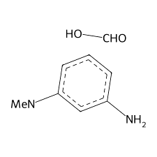 CNc1cccc(N)c1.O=CO